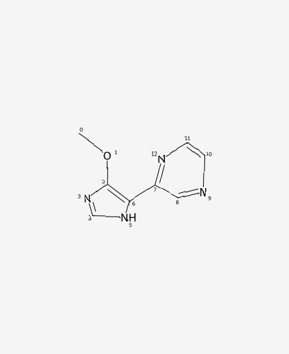 COc1n[c][nH]c1-c1cnccn1